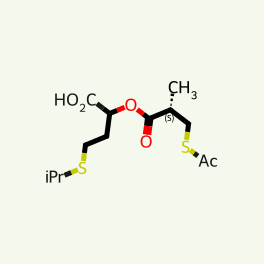 CC(=O)SC[C@@H](C)C(=O)OC(CCSC(C)C)C(=O)O